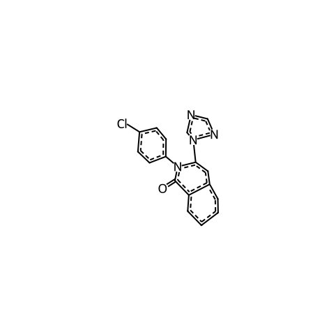 O=c1c2ccccc2cc(-n2cncn2)n1-c1ccc(Cl)cc1